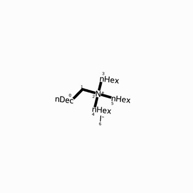 CCCCCCCCCCC[N+](CCCCCC)(CCCCCC)CCCCCC.[I-]